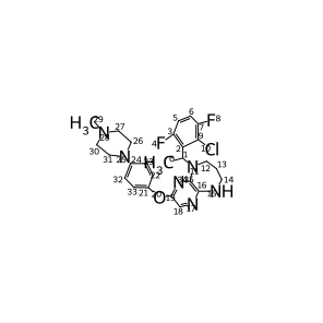 CC(c1c(F)ccc(F)c1Cl)N1CCCNc2ncc(Oc3ccc(N4CCN(C)CC4)cc3)nc21